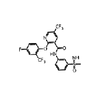 CS(=N)(=O)c1cccc(NC(=O)c2cc(C(F)(F)F)cnc2Oc2ccc(F)cc2C(F)(F)F)c1